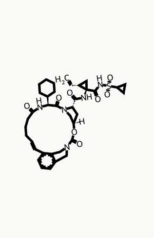 C=C[C@@H]1C[C@]1(NC(=O)[C@@H]1C[C@@H]2CN1C(=O)[C@H](C1CCCCC1)NC(=O)CCC/C=C/c1cccc3c1CN(C3)C(=O)O2)C(=O)NS(=O)(=O)C1CC1